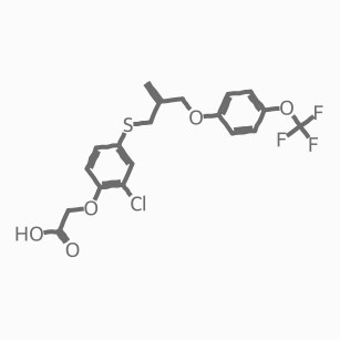 C=C(COc1ccc(OC(F)(F)F)cc1)CSc1ccc(OCC(=O)O)c(Cl)c1